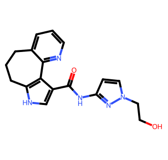 O=C(Nc1ccn(CCO)n1)c1c[nH]c2c1-c1ncccc1CCC2